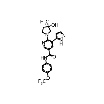 C[C@]1(O)CCN(c2ncc(C(=O)Nc3ccc(OC(F)(F)F)cc3)cc2-c2ccn[nH]2)C1